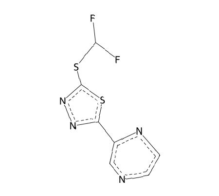 FC(F)Sc1nnc(-c2cnccn2)s1